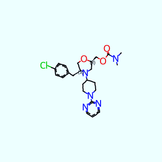 CN(C)C(=O)OC[C@H]1CN(C2CCN(c3ncccn3)CC2)[C@@H](Cc2ccc(Cl)cc2)CO1